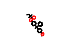 CCC(C)(C)C(=O)Oc1ccc(C(C)(c2ccccc2)c2ccc(OC)cc2)cc1